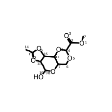 COC(=O)C1OCC2OC(O)C3OC(C)OC3C2O1